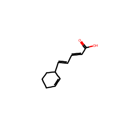 O=C(O)C=CC=CC1C=CCCC1